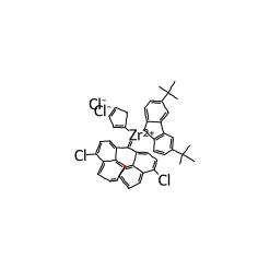 CC(C)(C)c1ccc2c(c1)-c1cc(C(C)(C)C)ccc1[CH]2[Zr+2]([C]1=CC=CC1)=[C](c1ccc(Cl)c2ccccc12)c1ccc(Cl)c2ccccc12.[Cl-].[Cl-]